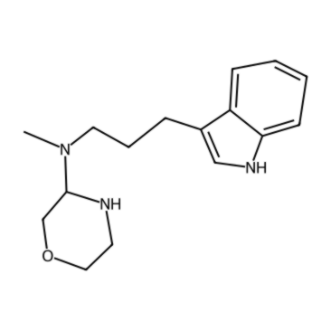 CN(CCCc1c[nH]c2ccccc12)C1COCCN1